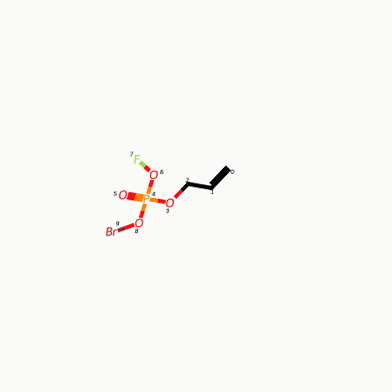 C=CCOP(=O)(OF)OBr